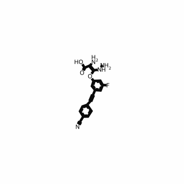 N#Cc1ccc(C#Cc2cc(F)cc(O/C(NN)=C(/N)C(=O)O)c2)cc1